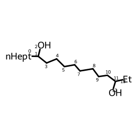 CCCCCCCC(O)CCCCCCCCC(O)CC